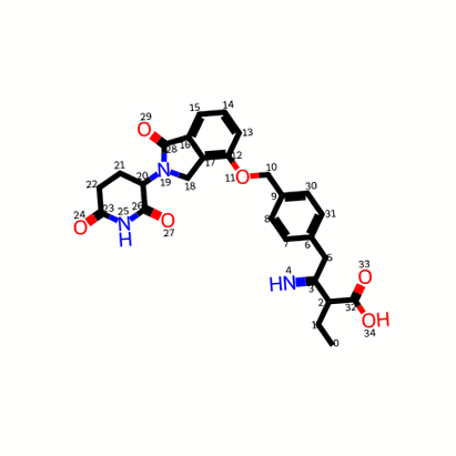 CCC(C(=N)Cc1ccc(COc2cccc3c2CN(C2CCC(=O)NC2=O)C3=O)cc1)C(=O)O